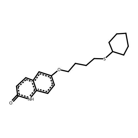 O=c1ccc2cc(OCCCCSC3CCCCC3)ccc2[nH]1